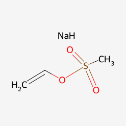 C=COS(C)(=O)=O.[NaH]